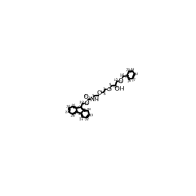 O=C(NCCOCCOC[C@H](O)COCc1ccccc1)OCC1c2ccccc2-c2ccccc21